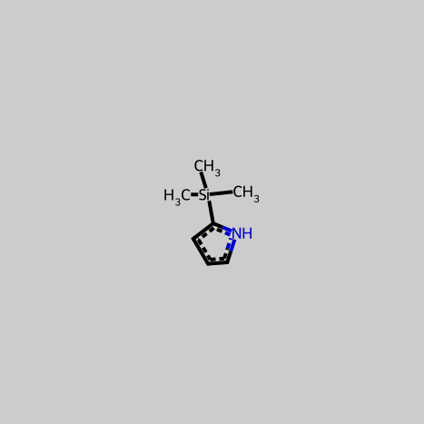 C[Si](C)(C)c1ccc[nH]1